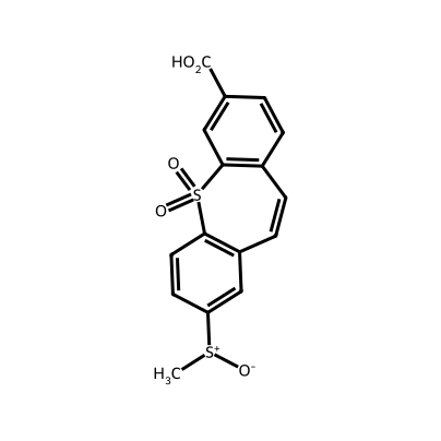 C[S+]([O-])c1ccc2c(c1)C=Cc1ccc(C(=O)O)cc1S2(=O)=O